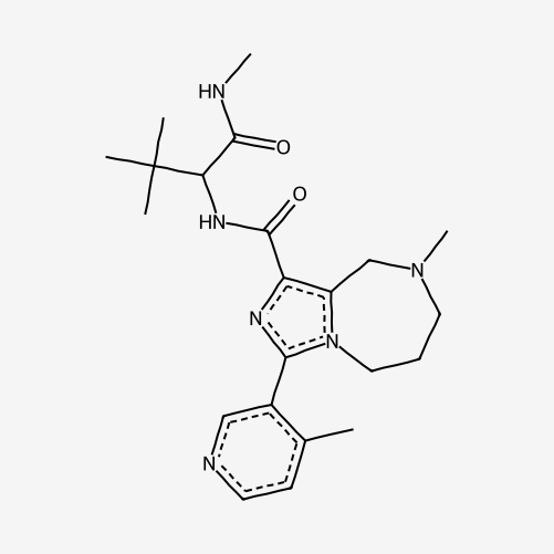 CNC(=O)C(NC(=O)c1nc(-c2cnccc2C)n2c1CN(C)CCC2)C(C)(C)C